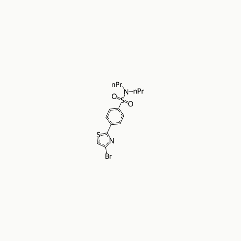 CCCN(CCC)S(=O)(=O)c1ccc(-c2nc(Br)cs2)cc1